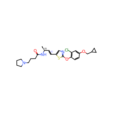 C[C@@H](/C=C/c1cnc(Oc2ccc(OCC3CC3)cc2Cl)s1)NC(=O)CCCN1CCCC1